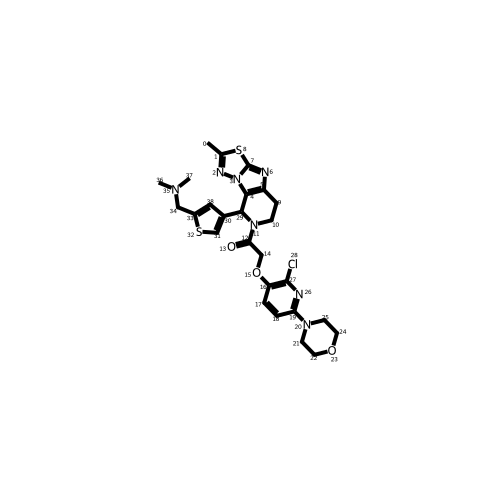 Cc1nn2c3c(nc2s1)CCN(C(=O)COc1ccc(N2CCOCC2)nc1Cl)C3c1csc(CN(C)C)c1